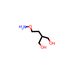 NOCCC(CO)CO